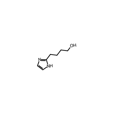 OCCCCc1ncc[nH]1